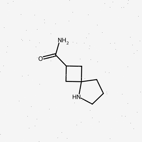 NC(=O)C1CC2(CCCN2)C1